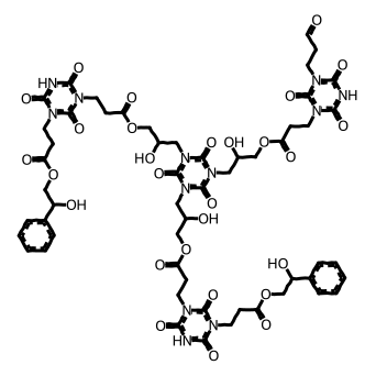 O=CCCn1c(=O)[nH]c(=O)n(CCC(=O)OCC(O)Cn2c(=O)n(CC(O)COC(=O)CCn3c(=O)[nH]c(=O)n(CCC(=O)OCC(O)c4ccccc4)c3=O)c(=O)n(CC(O)COC(=O)CCn3c(=O)[nH]c(=O)n(CCC(=O)OCC(O)c4ccccc4)c3=O)c2=O)c1=O